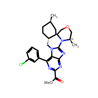 COC(=O)c1nc(-c2cccc(Cl)c2)c2c(n1)nc(N1CCOC[C@H]1C)n2C[C@H]1CC[C@H](C)CC1